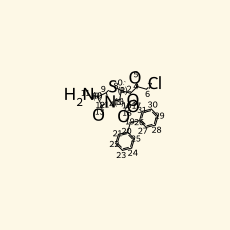 C[C@@]1(C(=O)C(=O)CCl)SC2[C@H](N)C(=O)N2[C@H]1C(=O)OC(c1ccccc1)c1ccccc1